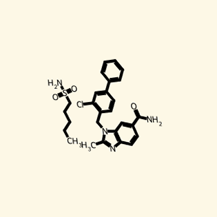 CCCCCS(N)(=O)=O.Cc1nc2ccc(C(N)=O)cc2n1Cc1ccc(-c2ccccc2)cc1Cl